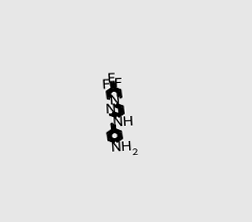 NC1CCC(CNc2ccc(N3CCC(C(F)(F)F)CC3)nc2)CC1